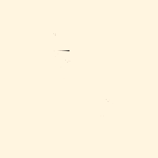 NS(=O)(=O)c1ccccc1Sc1ccc(C(=O)N[C@H]2CN3CCC2CC3)s1